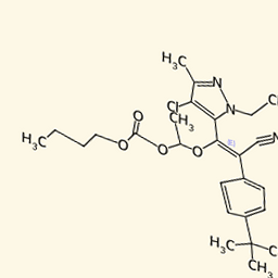 CCCCOC(=O)OC(C)O/C(=C(/C#N)c1ccc(C(C)(C)C)cc1)c1c(Cl)c(C)nn1CC